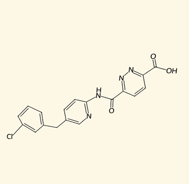 O=C(O)c1ccc(C(=O)Nc2ccc(Cc3cccc(Cl)c3)cn2)nn1